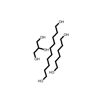 OCC(O)CO.OCCCCCCCCCCO.OCCCCCCO